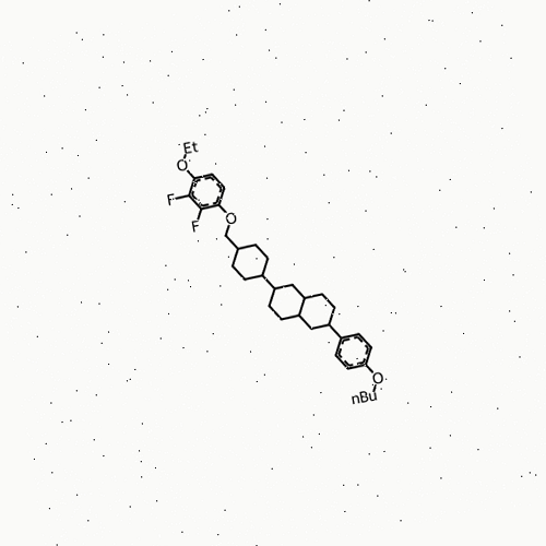 CCCCOc1ccc(C2CCC3CC(C4CCC(COc5ccc(OCC)c(F)c5F)CC4)CCC3C2)cc1